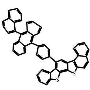 c1ccc2c(-c3c4ccccc4c(-c4ccc(-c5cc6c(sc7ccc8ccccc8c76)c6sc7ccccc7c56)cc4)c4ccccc34)cccc2c1